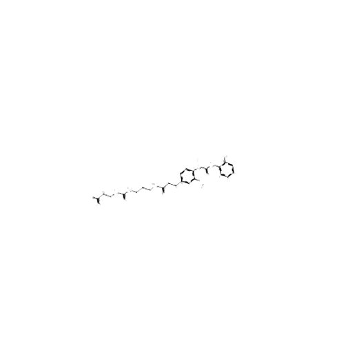 COc1cc(CCC(=O)NCCCNC(=O)NCCC(=O)O)ccc1NC(=O)Nc1ccccc1C